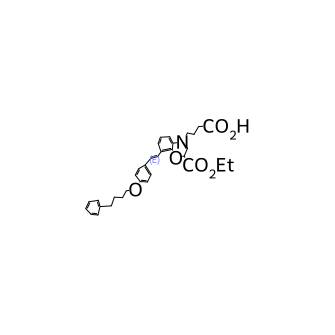 CCOC(=O)C1CN(CCCC(=O)O)c2cccc(/C=C/c3ccc(OCCCCc4ccccc4)cc3)c2O1